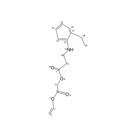 C=COC(=O)COC(=O)CCNc1ccccc1CC